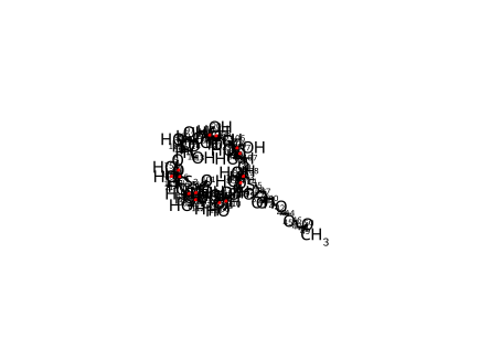 CN[C@H](CSCC1OC2O[C@@H]3C(CO)OC(O[C@@H]4C(CO)O[C@H](O[C@@H]5C(CO)O[C@@H](O[C@@H]6C(CSC[C@@H](CC(=O)CCOCCOCCC(C)=O)C(=O)O)O[C@@H](O[C@@H]7C(CO)O[C@@H](O[C@@H]8C(CO)O[C@@H](O[C@H]1[C@H](O)[C@@H]2O)C(O)[C@H]8O)C(O)[C@H]7O)C(O)[C@H]6O)C(O)[C@H]5O)C(O)[C@H]4O)[C@@H](O)[C@H]3O)C(=O)O